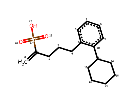 C=C(CCCc1ccccc1C1CCCCC1)S(=O)(=O)O